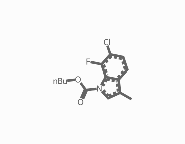 CCCCOC(=O)n1cc(C)c2ccc(Cl)c(F)c21